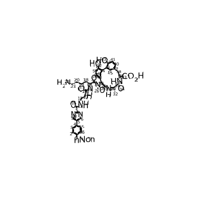 CCCCCCCCCc1ccc(-c2cnc(C(=O)NCCC(=O)N[C@@H](CCCCN)C(=O)N(C)[C@@H]3C(=O)N[C@@H](C)C(=O)N[C@H](C(=O)O)Cc4ccc(O)c(c4)-c4cc3ccc4O)nc2)cc1